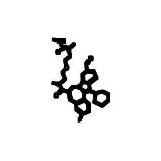 CN[S+]([O-])N(C)CCOCCN(C)C(=O)C1=Cc2cc(F)ccc2-c2c(C3CCCCC3)c3ccc(C=O)cc3n2C1